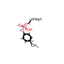 CCCCCCCCOP(=O)(O)Oc1ccc(C)cc1